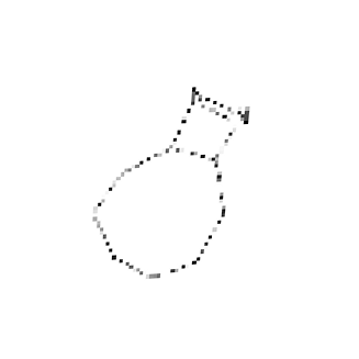 C1CCCC2N=N[C]2CC1